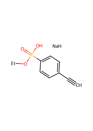 C#Cc1ccc(P(=O)(O)OCC)cc1.[NaH]